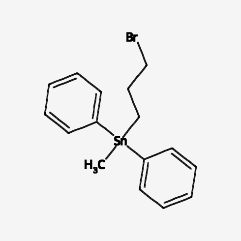 [CH3][Sn]([CH2]CCBr)([c]1ccccc1)[c]1ccccc1